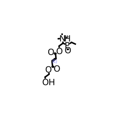 CC[PH](=O)C(COC(=O)/C=C/C(=O)OCCO)[N+](C)(C)C